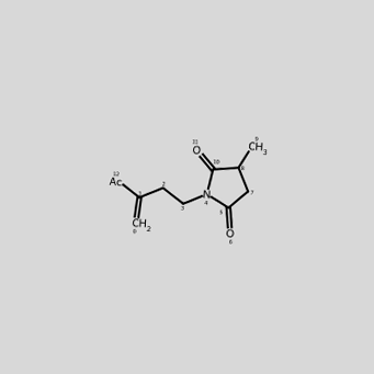 C=C(CCN1C(=O)CC(C)C1=O)C(C)=O